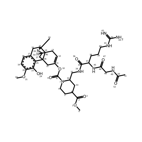 COC(=O)C1CCN(C(=O)OC2=CC[C@H]3C4Cc5ccc(OC)c(O)c5C3(CCN4C)C2)C(CNC(=O)C(CCCNC(=N)N)NC(=O)CNC(C)=O)C1